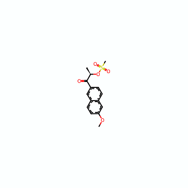 COc1ccc2cc(C(=O)[C@@H](C)OS(C)(=O)=O)ccc2c1